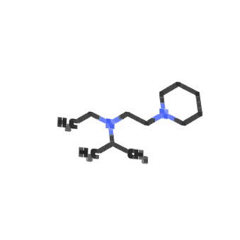 CCN(CCN1CCCCC1)C(C)C